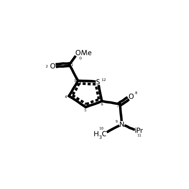 COC(=O)c1ccc(C(=O)N(C)C(C)C)s1